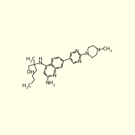 CCCCC(C)(CO)Nc1cc(N)nc2cc(-c3cnc(N4CCN(C)CC4)nc3)ccc12